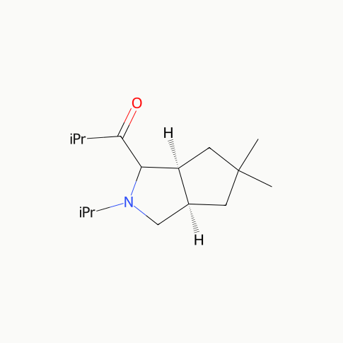 CC(C)C(=O)C1[C@H]2CC(C)(C)C[C@H]2CN1C(C)C